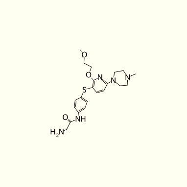 COCCOc1nc(N2CCN(C)CC2)ccc1Sc1ccc(NC(=O)CN)cc1